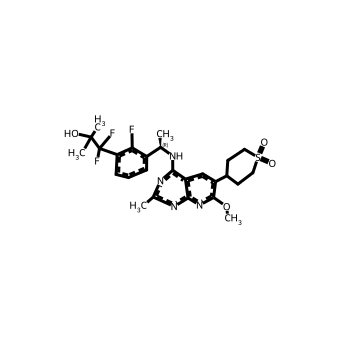 COc1nc2nc(C)nc(N[C@H](C)c3cccc(C(F)(F)C(C)(C)O)c3F)c2cc1C1CCS(=O)(=O)CC1